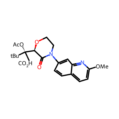 COc1ccc2ccc(N3CCO[C@H]([C@@](OC(C)=O)(C(=O)O)C(C)(C)C)C3=O)cc2n1